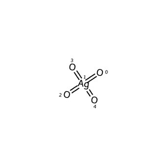 [O]=[Ag](=[O])(=[O])=[O]